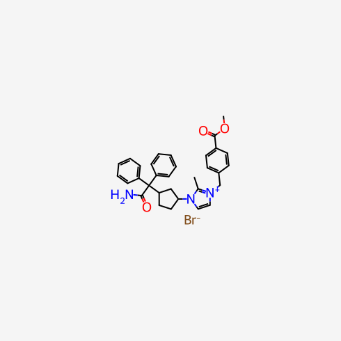 COC(=O)c1ccc(C[n+]2ccn(C3CCC(C(C(N)=O)(c4ccccc4)c4ccccc4)C3)c2C)cc1.[Br-]